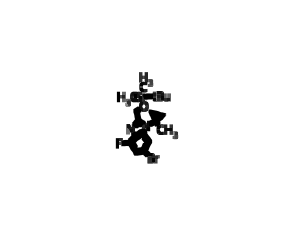 CC1(n2c(CO[Si](C)(C)C(C)(C)C)nc3c(F)cc(Br)cc32)CC1